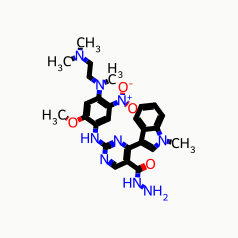 COc1cc(N(C)CCN(C)C)c([N+](=O)[O-])cc1Nc1ncc(C(=O)NN)c(-c2cn(C)c3ccccc23)n1